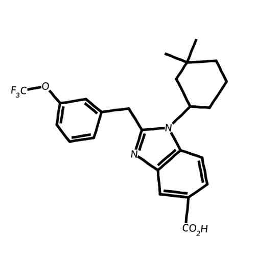 CC1(C)CCCC(n2c(Cc3cccc(OC(F)(F)F)c3)nc3cc(C(=O)O)ccc32)C1